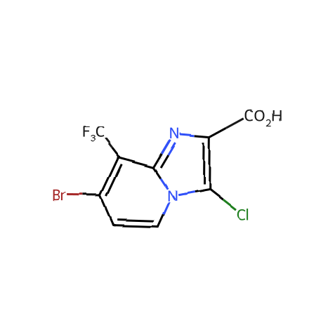 O=C(O)c1nc2c(C(F)(F)F)c(Br)ccn2c1Cl